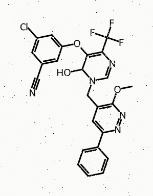 COc1nnc(-c2ccccc2)cc1CN1C=NC(C(F)(F)F)=C(Oc2cc(Cl)cc(C#N)c2)C1O